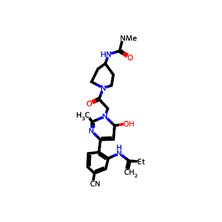 C=C(CC)Nc1cc(C#N)ccc1C1=CC(O)N(CC(=O)N2CCC(NC(=O)NC)CC2)C(C)=N1